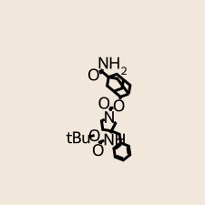 CC(C)(C)OC(=O)NC1(Cc2ccccc2)CCN(C(=O)OC2C3CC4CC2CC(C(N)=O)(C4)C3)C1